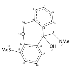 CNCC1(O)c2ccccc2COc2c(SC)cccc21